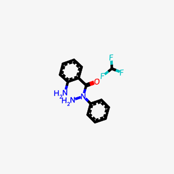 FC(F)F.Nc1ccccc1C(=O)N(N)c1ccccc1